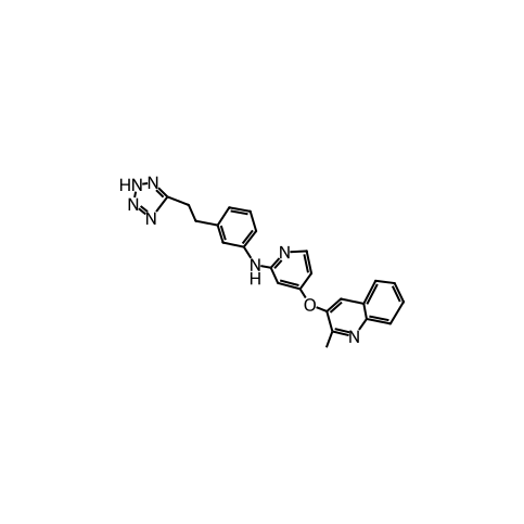 Cc1nc2ccccc2cc1Oc1ccnc(Nc2cccc(CCc3nn[nH]n3)c2)c1